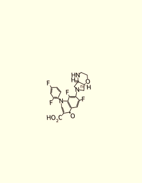 O=C(O)c1cn(-c2ccc(F)cc2F)c2c(F)c(N3C[C@@H]4OCCN[C@@H]4C3)c(F)cc2c1=O